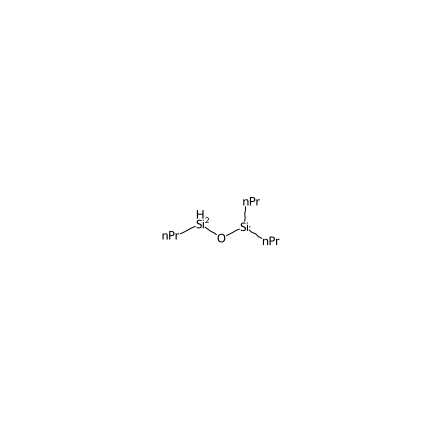 CCC[SiH2]O[Si](CCC)CCC